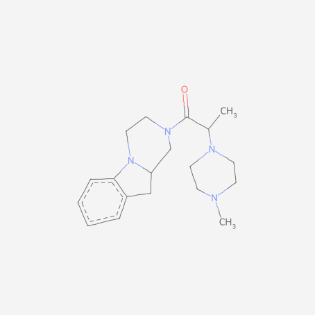 CC(C(=O)N1CCN2c3ccccc3CC2C1)N1CCN(C)CC1